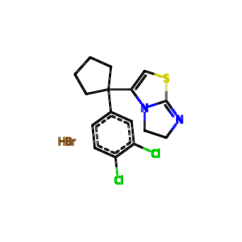 Br.Clc1ccc(C2(C3=CSC4=NCCN34)CCCC2)cc1Cl